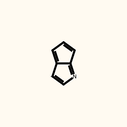 [C]1=CN=C2C=CC=C12